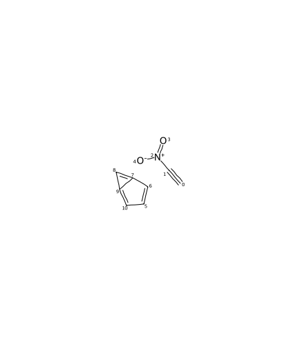 C#C[N+](=O)[O-].c1cc2cc-2c1